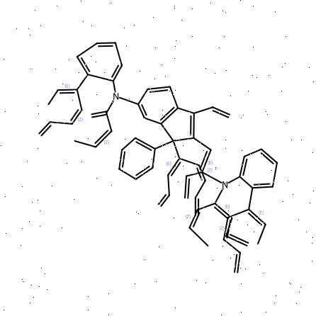 C=C/C=C\C(=C/C)c1ccccc1N(/C(C=C)=C/C1=C(C=C)c2ccc(N(C(=C)/C=C\C)c3ccccc3C(/C=C\C=C)=C/C)cc2C1(C(/C=C\C=C)=C/C=C)c1ccccc1)C(/C=C\C)=C/C=C